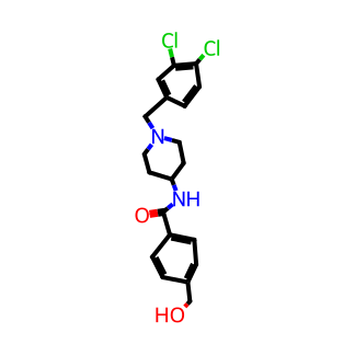 O=C(NC1CCN(Cc2ccc(Cl)c(Cl)c2)CC1)c1ccc(CO)cc1